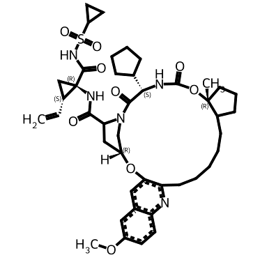 C=C[C@@H]1C[C@]1(NC(=O)C1C[C@@H]2CN1C(=O)[C@H](C1CCCC1)NC(=O)O[C@]1(C)CCCC1CCCCCc1nc3ccc(OC)cc3cc1O2)C(=O)NS(=O)(=O)C1CC1